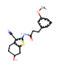 COc1cccc(CCC(=O)Nc2sc3c(c2C#N)CCC(O)C3)c1